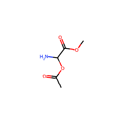 COC(=O)C(N)OC(C)=O